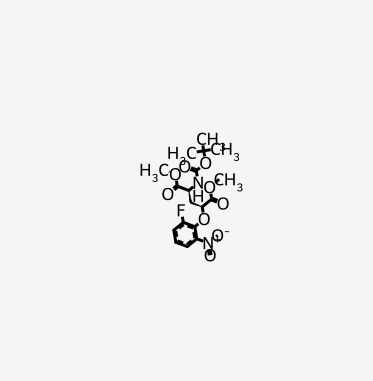 COC(=O)[C@H](C[C@H](Oc1c(F)cccc1[N+](=O)[O-])C(=O)OC)NC(=O)OC(C)(C)C